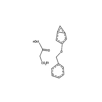 CCCCCCCCC(=O)CC(=O)OCC.c1ccc(COc2cc3cc-3c2)cc1